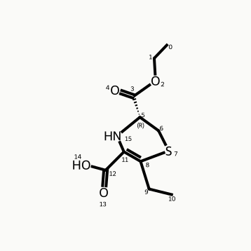 CCOC(=O)[C@@H]1CSC(CC)=C(C(=O)O)N1